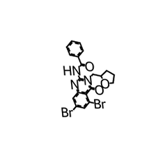 O=C(Nc1nc2cc(Br)cc(Br)c2c(=O)n1CC1CCCO1)c1ccccc1